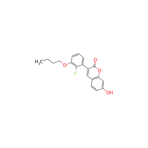 CCCCOc1cccc(-c2cc3ccc(O)cc3oc2=O)c1F